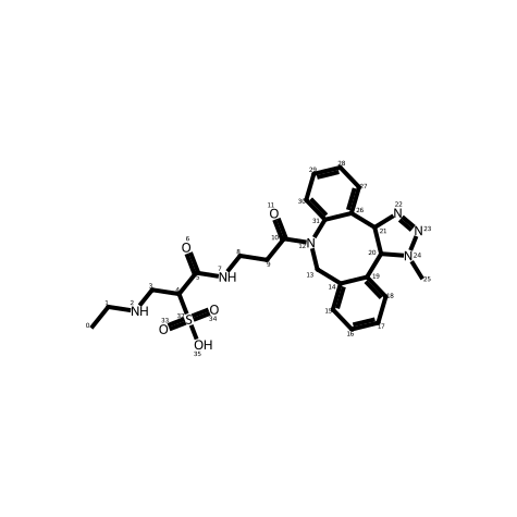 CCNCC(C(=O)NCCC(=O)N1Cc2ccccc2C2C(N=NN2C)c2ccccc21)S(=O)(=O)O